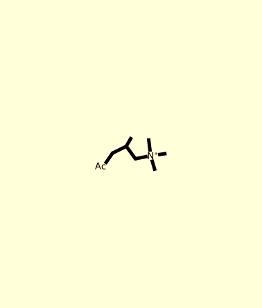 CC(=O)CC(C)C[N+](C)(C)C